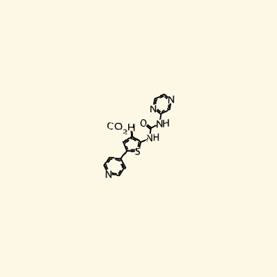 O=C(Nc1cnccn1)Nc1sc(-c2ccncc2)cc1C(=O)O